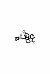 O=C(CNn1cnnc1)N1CCN2C(=O)c3ccccc3C12c1ccc(Cl)cc1